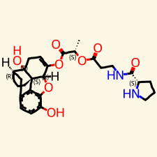 C[C@H](OC(=O)CCNC(=O)[C@@H]1CCCN1)C(=O)OC1=CC[C@@]2(O)[C@@H]3CCC[C@@]24c2c(ccc(O)c2O[C@@H]14)C3